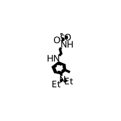 CCN(CC)c1ccc(NCCNS(C)(=O)=O)cc1C